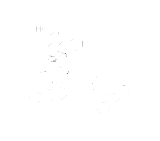 CCOC(Cc1c2ccccc2cc2ccccc12)(C(=O)O)C(COCCCC(=O)O)(COCCCC(=O)OCc1c2ccccc2cc2ccccc12)C(Cc1c2ccccc2cc2ccccc12)(OCC)C(=O)O